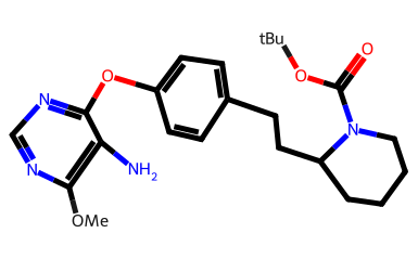 COc1ncnc(Oc2ccc(CCC3CCCCN3C(=O)OC(C)(C)C)cc2)c1N